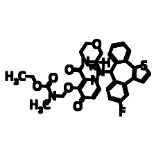 CCOC(=O)N(C)COc1c2n(ccc1=O)N(C1c3ccc(F)cc3-c3ccsc3-c3ccccc31)[C@@H]1COCCN1C2=O